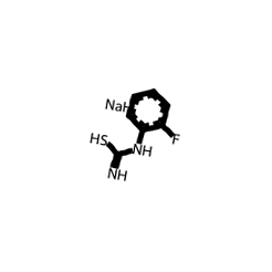 N=C(S)Nc1ccccc1F.[NaH]